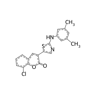 Cc1cc(C)cc(Nc2ncc(-c3cc4cccc(Cl)c4oc3=O)s2)c1